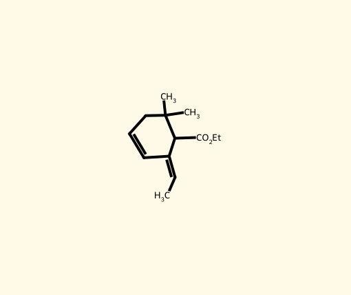 CC=C1C=CCC(C)(C)C1C(=O)OCC